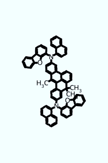 Cc1c2c3c(cccc3c3cc(N(c4cccc5ccccc45)c4cccc5c4oc4ccccc45)ccc13)C(C)(C)c1cc(N(c3cccc4ccccc34)c3cccc4c3oc3ccccc34)ccc1-2